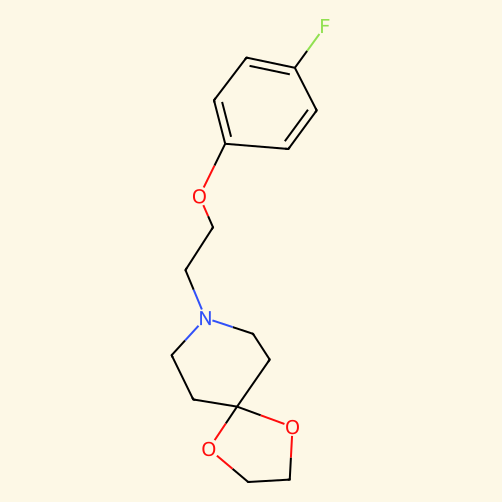 Fc1ccc(OCCN2CCC3(CC2)OCCO3)cc1